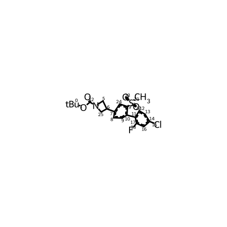 CC(C)(C)OC(=O)N1CC(c2ccc(-c3ccc(Cl)cc3F)c(S(C)(=O)=O)c2)C1